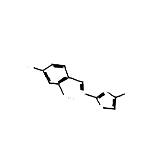 COc1ccc(C=Nc2nc(C)cs2)c(OC)c1